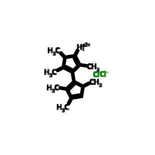 CC1=CC(C)C(C2=C(C)C(C)[C]([Hf+2])=C2C)=C1C.[Cl-].[Cl-]